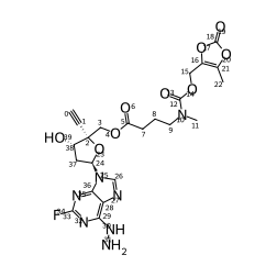 C#C[C@]1(COC(=O)CCCN(C)C(=O)OCc2oc(=O)oc2C)O[C@@H](n2cnc3c(NN)nc(F)nc32)C[C@@H]1O